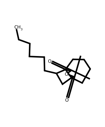 CCCCCCC1CC23CCCCC12C(=O)OC3=O